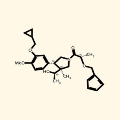 COc1ccc([C@@H]2CN(C(=O)[C@H](C)OCc3ccccc3)C[C@@]2(C)[C@@H](C)O)cc1OCC1CC1